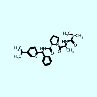 CC(C)c1ccc([C@@H](NC(=O)[C@@H]2CCCN2C(=O)[C@H](C)NC(=O)N(C)C)c2ccccc2)nc1